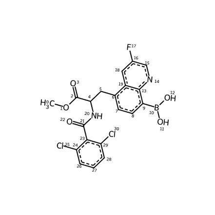 COC(=O)C(Cc1ccc(B(O)O)c2ncc(F)cc12)NC(=O)c1c(Cl)cccc1Cl